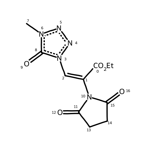 CCOC(=O)C(=Cn1nnn(C)c1=O)N1C(=O)CCC1=O